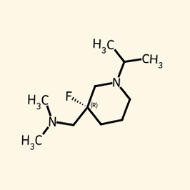 CC(C)N1CCC[C@@](F)(CN(C)C)C1